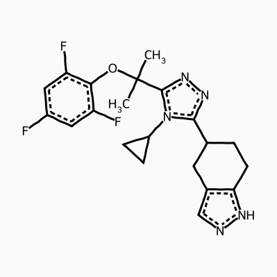 CC(C)(Oc1c(F)cc(F)cc1F)c1nnc(C2CCc3[nH]ncc3C2)n1C1CC1